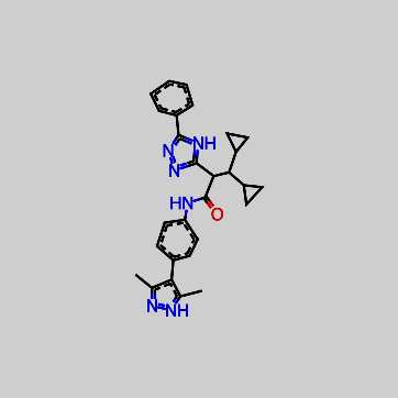 Cc1n[nH]c(C)c1-c1ccc(NC(=O)C(c2nnc(-c3ccccc3)[nH]2)C(C2CC2)C2CC2)cc1